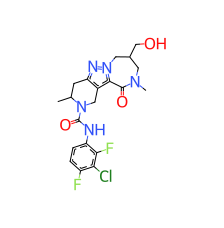 CC1Cc2nn3c(c2CN1C(=O)Nc1ccc(F)c(Cl)c1F)C(=O)N(C)CC(CO)C3